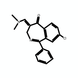 CN(C)/C=C1\CN=C(c2ccccc2)c2cc(Cl)ccc2C1=O